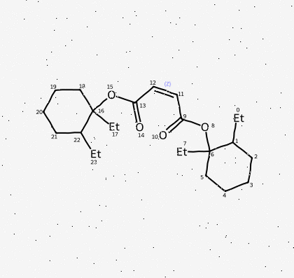 CCC1CCCCC1(CC)OC(=O)/C=C\C(=O)OC1(CC)CCCCC1CC